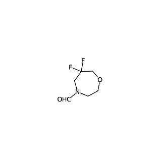 O=CN1CCOCC(F)(F)C1